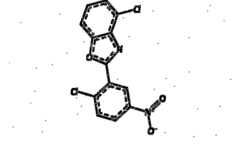 O=[N+]([O-])c1ccc(Cl)c(-c2nc3c(Cl)cccc3o2)c1